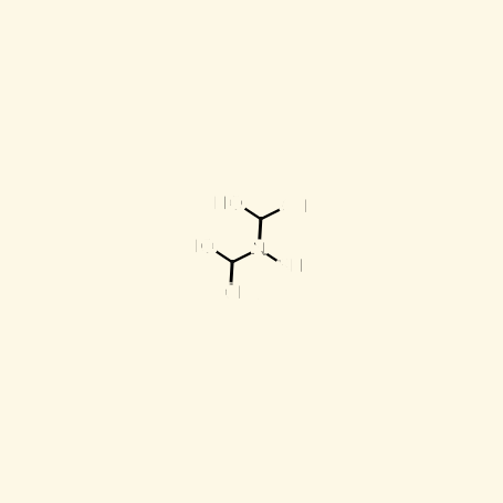 CC(O)N(S)C(C)O